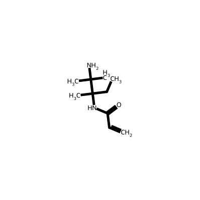 C=CC(=O)NC(C)(CC)C(C)(C)N